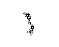 Cc1c(C)c2c(c(C)c1O)CCC(C)(CCN(C)CCOc1ccc(C=C3SC(=O)NC3=O)cc1)O2